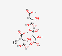 O=C([O-])CC(O)C(=O)[O-].O=C([O-])CC(O)C(=O)[O-].O=C([O-])CC(O)C(=O)[O-].[Y+3].[Y+3]